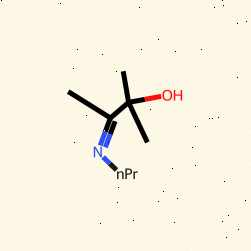 CCCN=C(C)C(C)(C)O